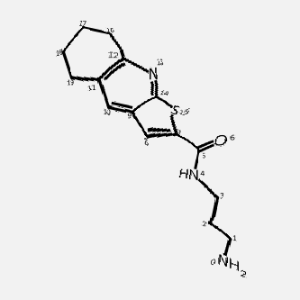 NCCCNC(=O)c1cc2cc3c(nc2s1)CCCC3